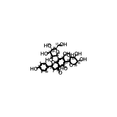 O=c1cc(-c2ccc(O)cc2)oc2c([C@@H]3O[C@H](CO)[C@@H](O)[C@H](O)[C@H]3O)c(O)c(C3OC[C@H](O)[C@H](O)[C@H]3O)c(O)c12